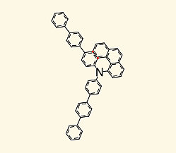 c1ccc(-c2ccc(-c3ccc(N(c4ccc(-c5ccc(-c6ccccc6)cc5)cc4)c4cccc5ccc6ccccc6c45)cc3)cc2)cc1